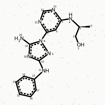 C[C@@H](CO)Nc1cc(-n2nc(Nc3ccccc3)nc2N)ncn1